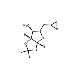 CO[C@H]1C(CC2CO2)O[C@@H]2OC(C)(C)O[C@@H]21